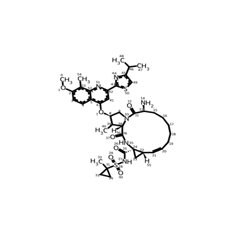 COc1ccc2c(O[C@H]3CN4C(=O)[C@@H](N)CCCCC/C=C\[C@@H]5C[C@@]5(C(=O)NS(=O)(=O)C5(C)CC5)NC(=O)[C@@H]4C3C)cc(-c3nc(C(C)C)cs3)nc2c1C